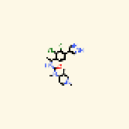 CC(NC(=O)N(C)C1CCN(C)CC1C)c1ccc(-c2cn[nH]c2)c(Cl)c1Cl